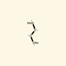 CNOOSC